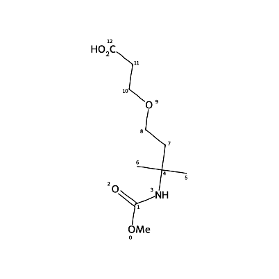 COC(=O)NC(C)(C)CCOCCC(=O)O